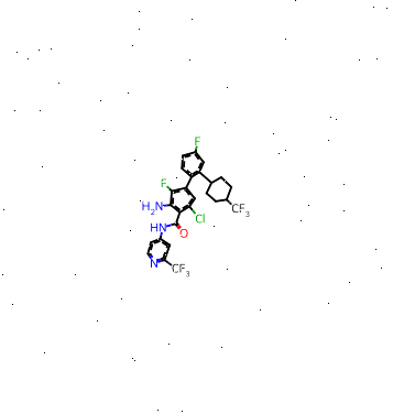 Nc1c(F)c(-c2ccc(F)cc2C2CCC(C(F)(F)F)CC2)cc(Cl)c1C(=O)Nc1ccnc(C(F)(F)F)c1